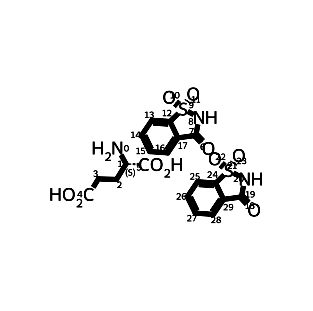 N[C@@H](CCC(=O)O)C(=O)O.O=C1NS(=O)(=O)c2ccccc21.O=C1NS(=O)(=O)c2ccccc21